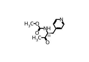 COC(=O)N[C@@H](Cc1ccncc1)C(C)=O